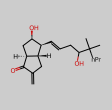 C=C1C[C@H]2[C@H](C=CCC(O)C(C)(C)CCC)[C@H](O)C[C@@H]2C1=O